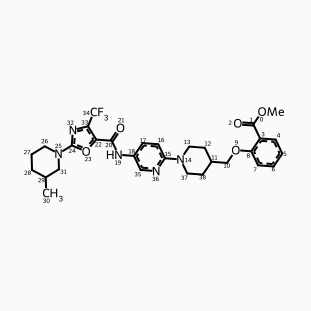 COC(=O)c1ccccc1OCC1CCN(c2ccc(NC(=O)c3oc(N4CCCC(C)C4)nc3C(F)(F)F)cn2)CC1